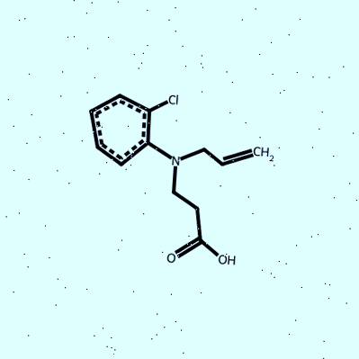 C=CCN(CCC(=O)O)c1ccccc1Cl